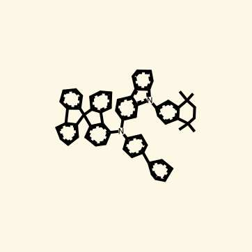 CC1(C)CCC(C)(C)c2cc(-n3c4ccccc4c4ccc(N(c5ccc(-c6ccccc6)cc5)c5cccc6c5-c5ccccc5C65c6ccccc6-c6ccccc65)cc43)ccc21